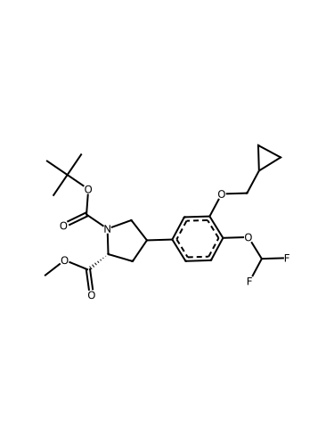 COC(=O)[C@H]1CC(c2ccc(OC(F)F)c(OCC3CC3)c2)CN1C(=O)OC(C)(C)C